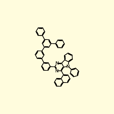 c1ccc(-c2cc(-c3ccccc3)cc(-c3cccc(-c4cccc(-c5nc(-c6cccc7ccccc67)c6c(n5)c5ccccc5n6-c5ccccc5)c4)c3)c2)cc1